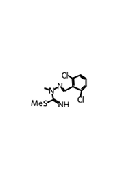 CSC(=N)N(C)/N=C/c1c(Cl)cccc1Cl